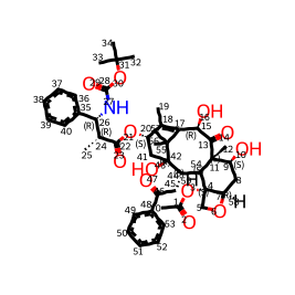 CC(=O)O[C@@]12CO[C@@H]1C[C@H](O)[C@@]1(C)C(=O)[C@H](O)C3=C(C)[C@@H](OC(=O)[C@H](C)[C@@H](NC(=O)OC(C)(C)C)c4ccccc4)C[C@@](O)([C@@H](CC(=O)c4ccccc4)[C@H]21)C3(C)C